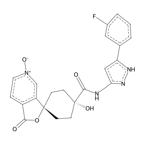 O=C1O[C@]2(CC[C@](O)(C(=O)Nc3cc(-c4cccc(F)c4)[nH]n3)CC2)c2c[n+]([O-])ccc21